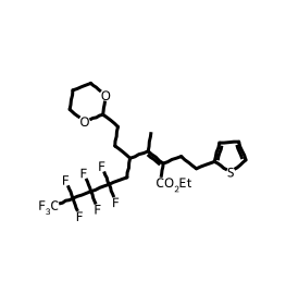 CCOC(=O)/C(CCc1cccs1)=C(/C)C(CCC1OCCCO1)CC(F)(F)C(F)(F)C(F)(F)C(F)(F)F